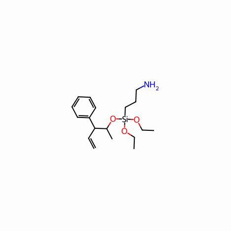 C=CC(c1ccccc1)C(C)O[Si](CCCN)(OCC)OCC